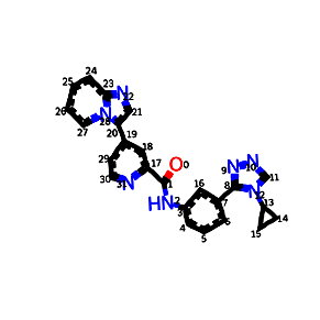 O=C(Nc1cccc(-c2nncn2C2CC2)c1)c1cc(-c2cnc3ccccn23)ccn1